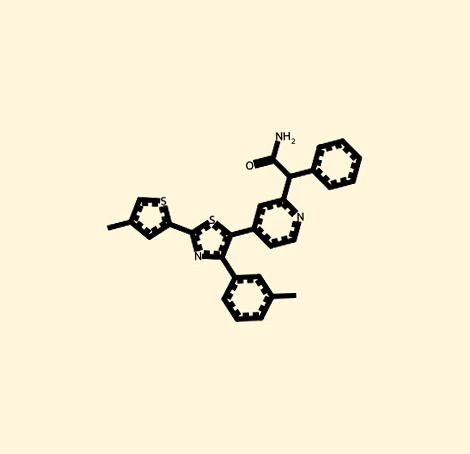 Cc1cccc(-c2nc(-c3cc(C)cs3)sc2-c2ccnc(C(C(N)=O)c3ccccc3)c2)c1